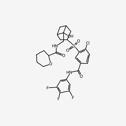 O=C(Nc1cc(F)c(F)c(F)c1)c1ccc(Cl)c(S(=O)(=O)C2CC3CC(C2)C3(O)CNC(=O)C2CCCCO2)c1